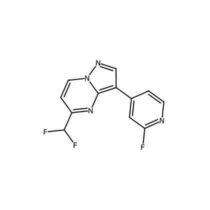 Fc1cc(-c2cnn3ccc(C(F)F)nc23)ccn1